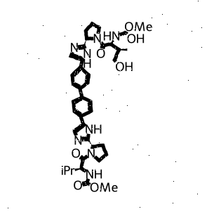 COC(=O)N[C@H](C(=O)N1CCC[C@H]1c1ncc(-c2ccc(-c3ccc(-c4cnc([C@@H]5CCCN5C(=O)[C@@H](NC(O)OC)[C@@H](C)CO)[nH]4)cc3)cc2)[nH]1)C(C)C